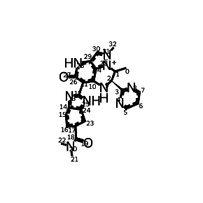 CC1[C@@H](c2ncccn2)Nc2c(-c3nc4ccc(C(=O)N(C)C)cc4[nH]3)c(=O)[nH]c3cn(C)[n+]1c23